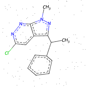 CC(c1ccccc1)c1nn(C)c2nnc(Cl)cc12